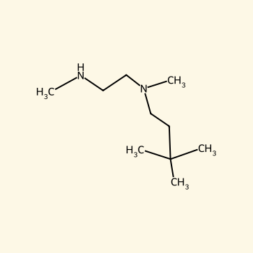 CNCCN(C)CCC(C)(C)C